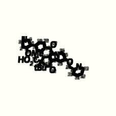 COc1ccncc1-c1ccc(C(=O)c2c(CC(C)(C)C(=O)O)c(C(=O)C(C)(C)C)c3cc(OCc4ccccn4)ccn23)cc1